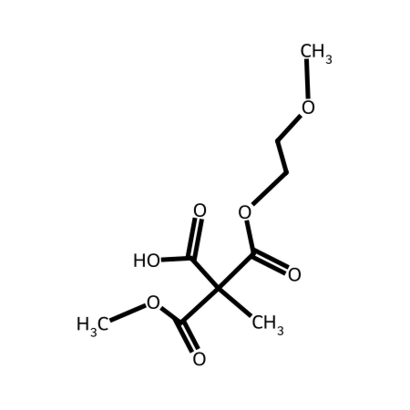 COCCOC(=O)C(C)(C(=O)O)C(=O)OC